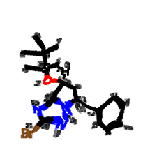 [2H][C@]1(O[Si](C)(C)C(C)(C)C)C[C@@H](c2ccccc2)n2nc(Br)nc21